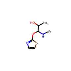 CC(C)NC(Oc1nccs1)C(C)O